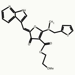 COCCOC(=O)C1=C(N(C)Cc2cccs2)O/C(=C\c2c[nH]c3ncccc23)C1=O